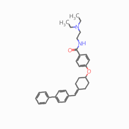 CCN(CC)CCNC(=O)c1ccc(OC2CCC(=Cc3ccc(-c4ccccc4)cc3)CC2)cc1